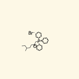 CCC(C)CCC(=O)C[P+](c1ccccc1)(c1ccccc1)c1ccccc1.[Br-]